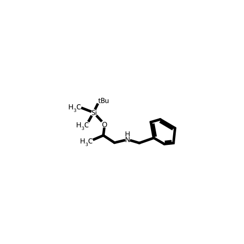 CC(CNCc1ccccc1)O[Si](C)(C)C(C)(C)C